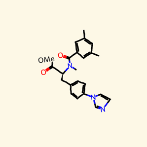 COC(=O)[C@H](Cc1ccc(-n2ccnc2)cc1)N(C)C(=O)c1cc(C)cc(C)c1